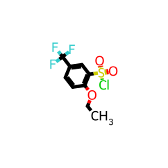 CCOc1ccc(C(F)(F)F)cc1S(=O)(=O)Cl